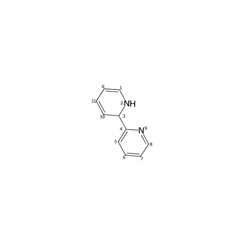 C1=CNC(c2ccccn2)C=C1